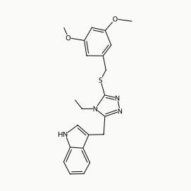 CCn1c(Cc2c[nH]c3ccccc23)nnc1SCc1cc(OC)cc(OC)c1